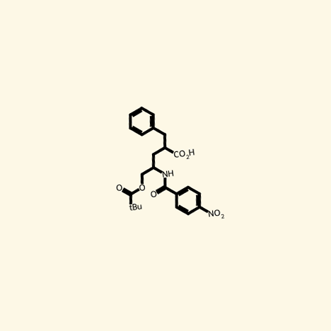 CC(C)(C)C(=O)OCC(CC(Cc1ccccc1)C(=O)O)NC(=O)c1ccc([N+](=O)[O-])cc1